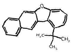 CC(C)(C)c1cccc2oc3cc4ccccc4cc3c12